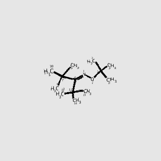 CC(C)(C)ON=C(C(C)(C)C)C(C)(C)C